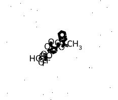 CCC(OC(=O)C1C2CC3C(OC(=O)C31)C2OC(=O)C(F)(F)S(=O)(=O)O)C1C=C2CCCC(C2)C1